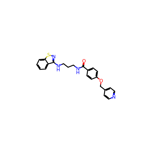 O=C(NCCCNc1nsc2ccccc12)c1ccc(OCc2ccncc2)cc1